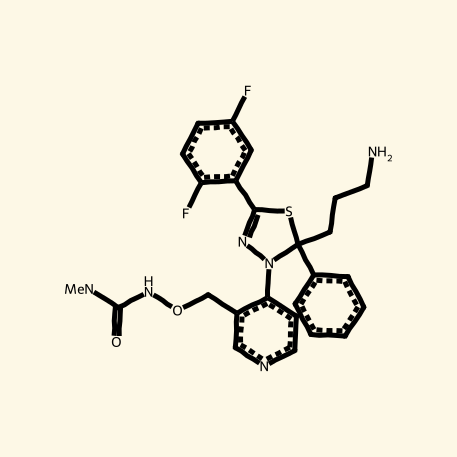 CNC(=O)NOCc1cnccc1N1N=C(c2cc(F)ccc2F)SC1(CCCN)c1ccccc1